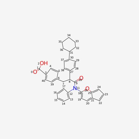 O=C(O)c1ccc(CC(C(=O)N(c2ccccc2)c2ccc3cccc-3o2)c2ccc(C3CCCCC3)cc2)cc1